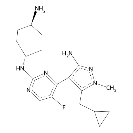 Cn1nc(N)c(-c2nc(N[C@H]3CC[C@H](N)CC3)ncc2F)c1CC1CC1